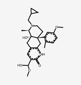 COc1ccc(C)c([C@]23CCN(CC4CC4)[C@H](C)[C@]2(O)Cc2cc(C(O)OC)c(=O)[nH]c2C3)c1